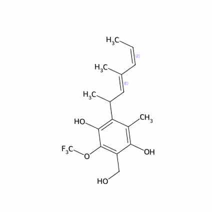 C/C=C\C(C)=C\C(C)c1c(C)c(O)c(CO)c(OC(F)(F)F)c1O